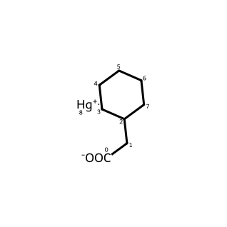 O=C([O-])CC1CCCCC1.[Hg+]